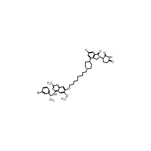 COc1cc2c(N[C@H](C)c3cccc(Br)c3)nc(C)nc2cc1OCCCCCCCCN1CCC(c2cc(F)cc3c2CN(C2CCC(=O)NC2=O)C3=O)CC1